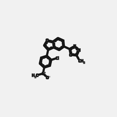 Cc1nnc(-c2ccc3occ(-c4ccc([S+](C)[O-])cc4Cl)c3c2)o1